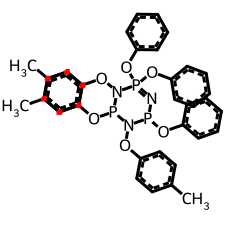 Cc1ccc(ON2P(Oc3ccccc3)N=P(Oc3ccccc3)(Oc3ccccc3)N(Oc3ccc(C)cc3)P2Oc2ccc(C)cc2)cc1